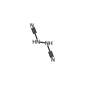 N#CNNC#N